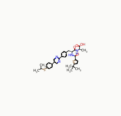 CC(C)Sc1ccc(-c2cnc(-c3ccc(C[C@H](NC(=O)c4ccc(C(C)(C)C)s4)C(=O)N[C@H](C)C(=O)O)cc3)nc2)cc1